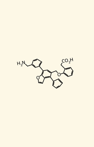 NCc1cccc(-c2cc(COc3ccccc3CC(=O)O)c(-c3ccccc3)c3ccoc23)c1